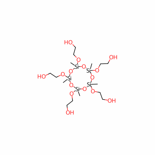 C[Si]1(OCCO)O[Si](C)(OCCO)O[Si](C)(OCCO)O[Si](C)(OCCO)O[Si](C)(OCCO)O1